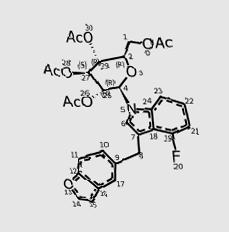 CC(=O)OC[C@H]1O[C@@H](n2cc(Cc3ccc4occc4c3)c3c(F)cccc32)[C@H](OC(C)=O)[C@@H](OC(C)=O)[C@@H]1OC(C)=O